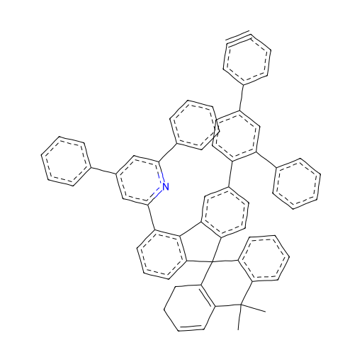 CC1(C)C2=C(CCC=C2)C2(c3ccc(-c4ccc(-c5cc#ccc5)cc4-c4ccccc4)cc3-c3c(-c4cc(-c5ccccc5)cc(-c5ccccc5)n4)cccc32)c2ccccc21